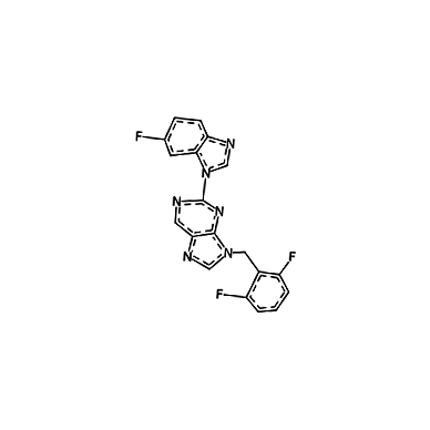 Fc1ccc2ncn(-c3ncc4ncn(Cc5c(F)cccc5F)c4n3)c2c1